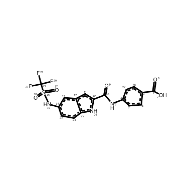 O=C(O)c1ccc(NC(=O)c2cc3cc(NS(=O)(=O)C(F)(F)F)ccc3[nH]2)cc1